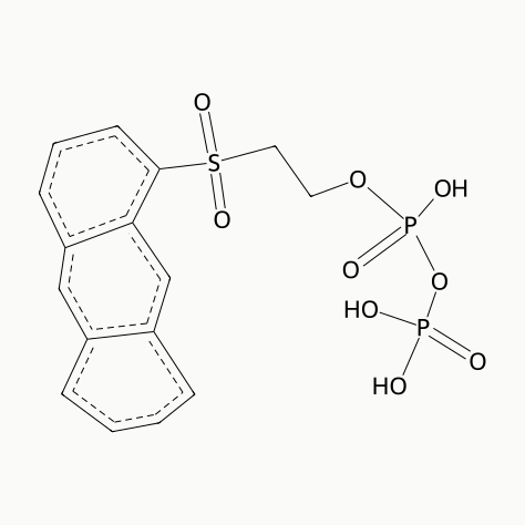 O=P(O)(O)OP(=O)(O)OCCS(=O)(=O)c1cccc2cc3ccccc3cc12